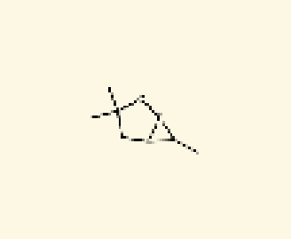 CC1C2CC(C)(C)OP12